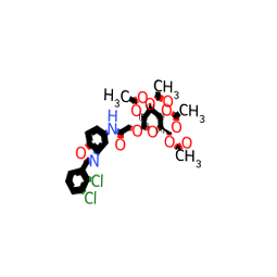 CC(=O)OC[C@H]1O[C@@H](OCC(=O)Nc2ccc3oc(-c4cccc(Cl)c4Cl)nc3c2)[C@H](OC(C)=O)[C@@H](OC(C)=O)[C@@H]1OC(C)=O